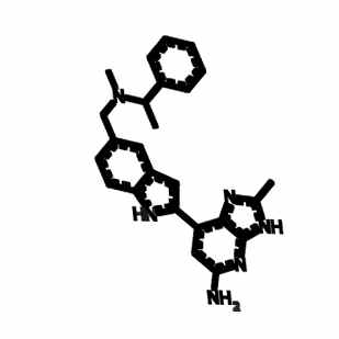 Cc1nc2c(-c3cc4cc(CN(C)C(C)c5ccccc5)ccc4[nH]3)cc(N)nc2[nH]1